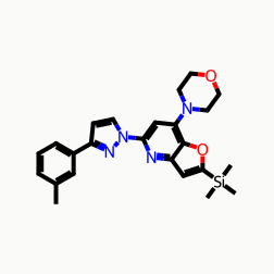 Cc1cccc(-c2ccn(-c3cc(N4CCOCC4)c4oc([Si](C)(C)C)cc4n3)n2)c1